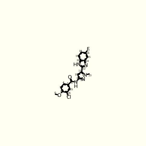 COc1ccc(C(=O)Nc2cc(-c3nc4cc(F)ccc4[nH]3)n(C)n2)cc1Cl